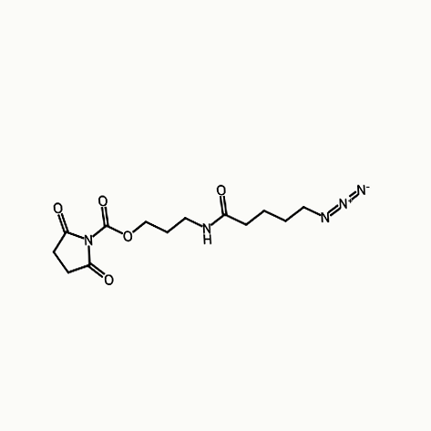 [N-]=[N+]=NCCCCC(=O)NCCCOC(=O)N1C(=O)CCC1=O